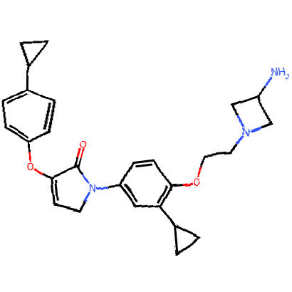 NC1CN(CCOc2ccc(N3CC=C(Oc4ccc(C5CC5)cc4)C3=O)cc2C2CC2)C1